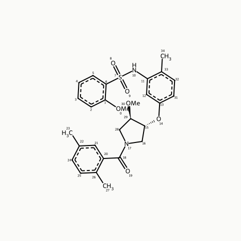 COc1ccccc1S(=O)(=O)Nc1cc(O[C@@H]2CN(C(=O)c3cc(C)ccc3C)C[C@H]2OC)ccc1C